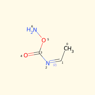 C/C=N\C(=O)ON